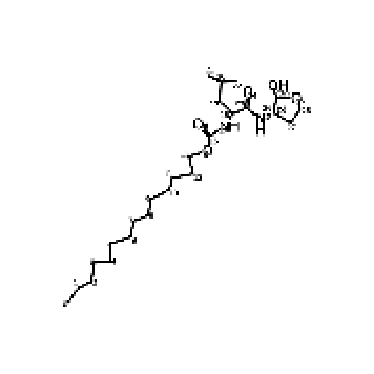 CCCCCCCCCCCCCCOC(=O)NC(CC(C)C)C(=O)N[C@H]1CCOC1O